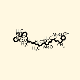 CO[C@H](C/C(C)=C/[C@@H](C)C(=O)CC[C@H](C)CC1CC[C@@H](O)[C@H](OC)C1)C(=O)[C@H](C)C[C@H](C)/C=C/C=C/C=C(\C)CC[C@@H]1CC[C@@H](C)[C@](O)(C(=O)C(=O)N2CCCCC2C(=O)O)O1